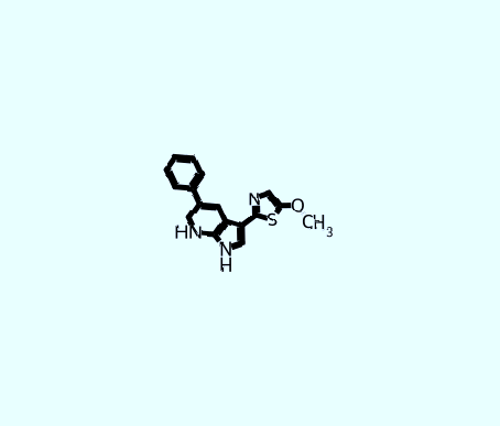 COc1cnc(-c2c[nH]c3c2C=C(c2ccccc2)CN3)s1